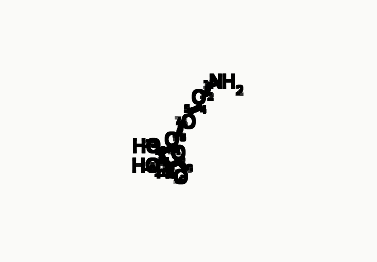 NCCOCCOCCO[C@H]1OC2COC[C@H]2C(O)C1O